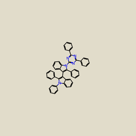 c1ccc(-c2nc(-c3ccccc3)nc(-n3c(-c4ccccc4)c(-c4c(-c5ccccc5)n(-c5ccccc5)c5ccccc45)c4ccccc43)n2)cc1